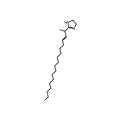 CCCCCCCCCCCCCCC=CC(C)C1=NCCN1